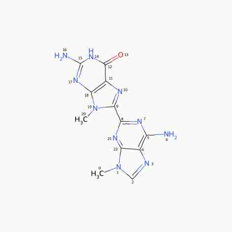 Cn1cnc2c(N)nc(-c3nc4c(=O)[nH]c(N)nc4n3C)nc21